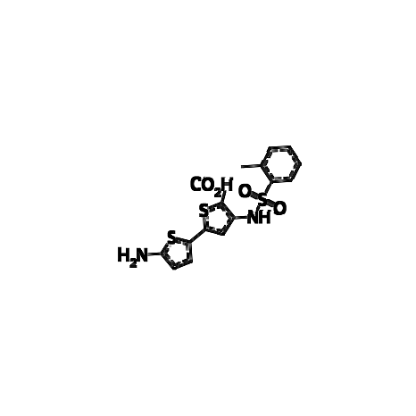 Cc1ccccc1S(=O)(=O)Nc1cc(-c2ccc(N)s2)sc1C(=O)O